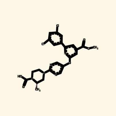 COC(=O)c1cc(Oc2cnc(N3CCN(C(=O)O)[C@@H](C)C3)nc2)nc(-c2cc(Cl)cc(Cl)c2)c1